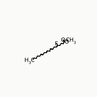 CCCCCC=CCC=CCC=CCC=C(F)CCCC(=O)OC